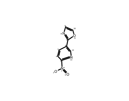 O=[N+]([O-])c1ccc(-c2ncco2)cn1